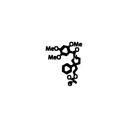 COc1cc(OC)c(C(=O)N2CCC(CCOS(C)(=O)=O)(c3ccccc3)C2)cc1OC